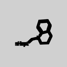 CCCCCCCCN1CCCc2ccccc21